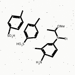 CCN(c1ccc(N)c(C)c1)C(C)OC.Cc1ccc(S(=O)(=O)O)cc1.Cc1ccc(S(=O)(=O)O)cc1